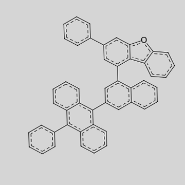 c1ccc(-c2cc(-c3cc(-c4c5ccccc5c(-c5ccccc5)c5ccccc45)cc4ccccc34)c3c(c2)oc2ccccc23)cc1